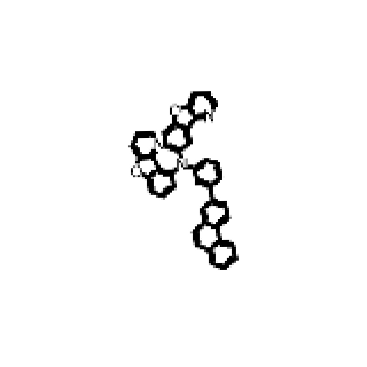 c1cc(-c2ccc3c(ccc4ccccc43)c2)cc(N(c2ccc3oc4cccnc4c3c2)c2cccc3oc4cccnc4c23)c1